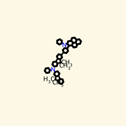 CC1(C)c2ccccc2-c2ccc(N(c3ccccc3)c3ccc4c(c3)C(C)(C)c3cc(-c5ccc6c7c8ccc9cccc%10ccc(cc7n(-c7ccccc7)c6c5)c8c%109)ccc3-4)cc21